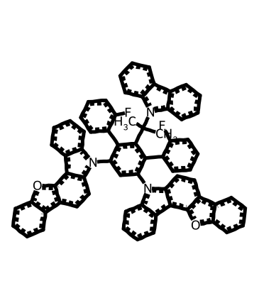 CC(C)(c1c(-c2ccccc2F)c(-n2c3ccccc3c3c4oc5ccccc5c4ccc32)cc(-n2c3ccccc3c3c4oc5ccccc5c4ccc32)c1-c1ccccc1F)n1c2ccccc2c2ccccc21